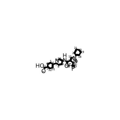 O=C(O)c1ccc(-c2ccc(NC(=O)c3cn(-c4ccccc4)nc3C(F)(F)F)cn2)cc1